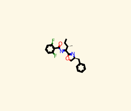 CC[C@H](C)/C(=N\C(=O)c1c(F)cccc1F)C1=N[C@@H](Cc2ccccc2)CO1